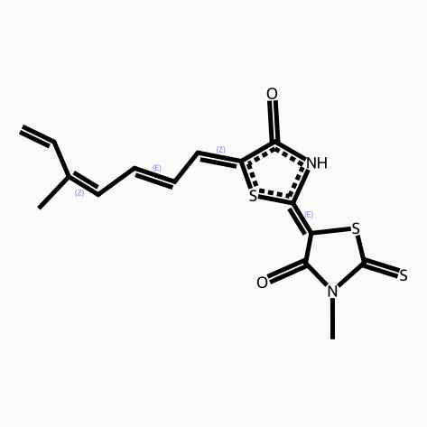 C=C\C(C)=C/C=C/C=c1\s/c(=C2/SC(=S)N(C)C2=O)[nH]c1=O